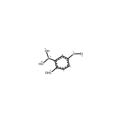 CCOc1ccc(C=O)c(B(O)O)c1